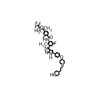 Cc1c(NC(=O)c2ccc(C(C)(C)OC(=O)C(F)(F)F)cc2F)cc(F)cc1-c1ncnc2[nH]c(-c3ccc(OC4CCN(CCCC5CCNCC5)CC4)cc3)cc12